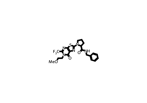 COCCn1c(C(F)(F)F)nc2sc(N3CCCC3C(=O)NCc3ccccc3)nc2c1=O